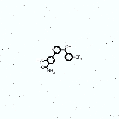 Cc1cc(-c2cc(C(O)c3cccc(C(F)(F)F)c3)ccn2)ccc1C(N)=O